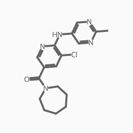 Cc1ncc(Nc2ncc(C(=O)N3CCCCCC3)cc2Cl)cn1